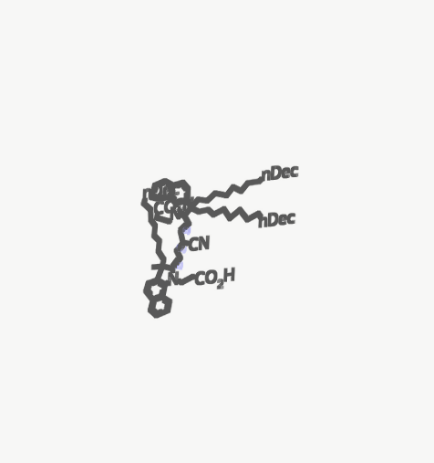 CCCCCCCCCCCCCCCCCCC1(CCCCCCCCCCCCCCCCCC)C(/C=C/C(C#N)=C/C=C2/N(CCC(=O)O)c3c(ccc4ccccc34)C2(C)CCCCCCCCCCCCCCCCCC)=[N+](CCC(=O)O)c2c1ccc1ccccc21